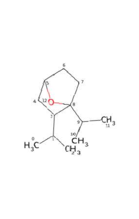 CC(C)C1CC2CCC1(C(C)C)O2